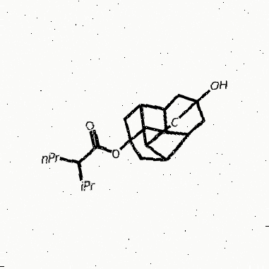 CCCC(C(=O)OC12CC3C4CC5(O)CC3C(C1)C(C5)C4C2)C(C)C